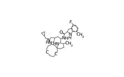 Cc1ccc(F)c2c1NC(C(=O)NC(CC1CNN(CC3CC3)C1)C1NC3(CCCCCCCCC3)CCC1C)C2